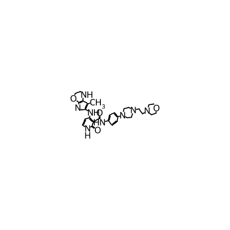 Cc1c(Nc2cc[nH]c(=O)c2C(=O)Nc2ccc(N3CCN(CCN4CCOCC4)CC3)cc2)cnc2c1NCCO2